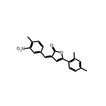 Cc1ccc(C2=C/C(=C/c3ccc(C)c([N+](=O)[O-])c3)C(=O)O2)c(C)c1